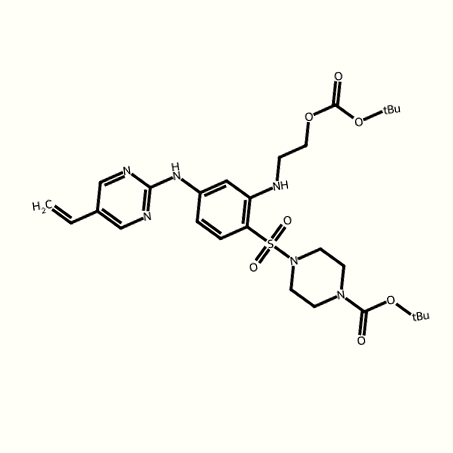 C=Cc1cnc(Nc2ccc(S(=O)(=O)N3CCN(C(=O)OC(C)(C)C)CC3)c(NCCOC(=O)OC(C)(C)C)c2)nc1